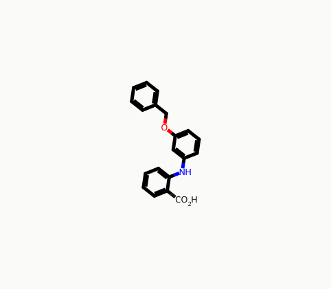 O=C(O)c1ccccc1Nc1cccc(OCc2ccccc2)c1